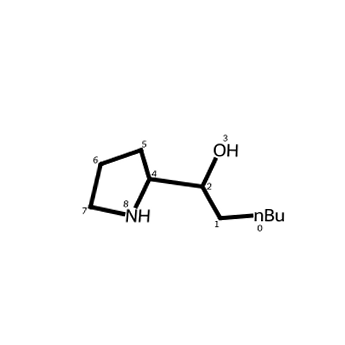 CCCCCC(O)C1CCCN1